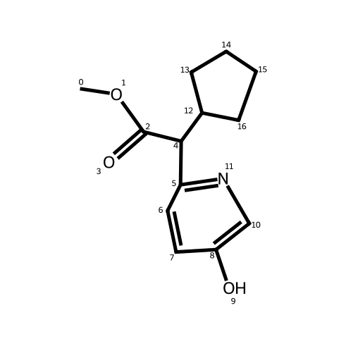 COC(=O)C(c1ccc(O)cn1)C1CCCC1